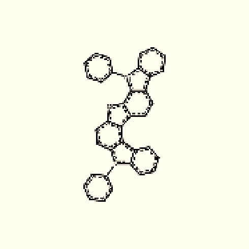 c1ccc(-n2c3ccccc3c3c4c(ccc32)oc2c4ccc3c4ccccc4n(-c4ccccc4)c32)cc1